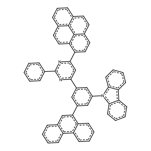 c1ccc(-c2nc(-c3cc(-c4cc5ccccc5c5ccccc45)cc(-n4c5ccccc5c5ccccc54)c3)cc(-c3ccc4ccc5cccc6ccc3c4c56)n2)cc1